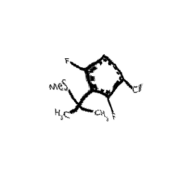 CSC(C)(C)c1c(F)ccc(Cl)c1F